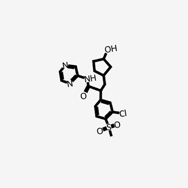 CS(=O)(=O)c1ccc(C(CC2CCC(O)C2)C(=O)Nc2cnccn2)cc1Cl